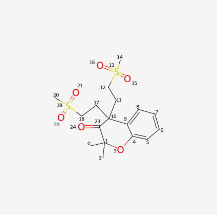 CC1(C)Oc2ccccc2C(CCS(C)(=O)=O)(CCS(C)(=O)=O)C1=O